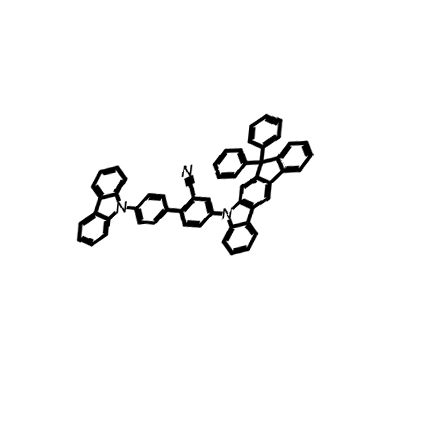 N#Cc1cc(-n2c3ccccc3c3cc4c(cc32)C(c2ccccc2)(c2ccccc2)c2ccccc2-4)ccc1-c1ccc(-n2c3ccccc3c3ccccc32)cc1